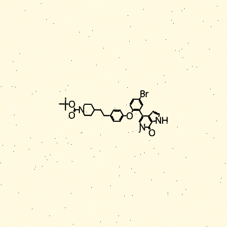 Cn1cc(-c2cc(Br)ccc2Oc2ccc(CCC3CCN(C(=O)OC(C)(C)C)CC3)cc2)c2cc[nH]c2c1=O